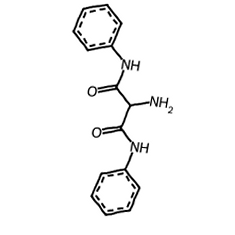 NC(C(=O)Nc1ccccc1)C(=O)Nc1ccccc1